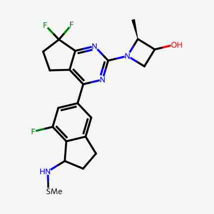 CSNC1CCc2cc(-c3nc(N4CC(O)[C@@H]4C)nc4c3CCC4(F)F)cc(F)c21